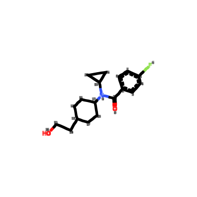 O=C(c1ccc(F)cc1)N(C1CCC(CCO)CC1)C1CC1